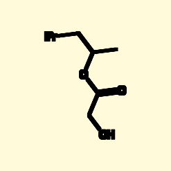 CC(C)CC(C)OC(=O)CO